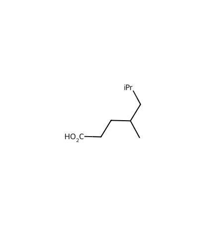 CC(C)CC(C)CCC(=O)O